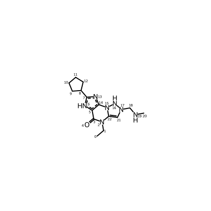 CCN1C(=O)c2[nH]c(C3CCCC3)nc2N2NN(CNC)C=C12